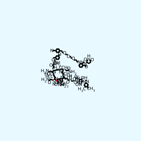 C/C1=C2N=C(/C=C3N=C(/C(C)=C4/[C@@H](CCC(N)=O)[C@](C)(CC(N)=O)[C@](C)([C@@H]5N=C1[C@](C)(CCC(=O)NCC(C)OP(=O)([O-])O[C@H]1[C@@H](O)[C@@H](n6cnc7cc(C)c(C)cc76)O[C@@H]1CO)[C@H]5CC(N)=O)[N]4[Co+][C]#N)[C@@](C)(CC(N)=O)[C@@H]\3CCC(N)=O)C(C)(C)[C@@H]/2CCC(N)=O.N#Cc1ccc(CCOCCOCCOCCCNc2cccc3c2CN(C2CCC(=O)NC2=O)C3=O)c(Oc2ccc3c(c2)COB3O)c1